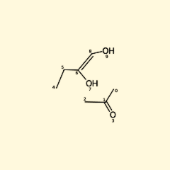 CC(C)=O.CC/C(O)=C/O